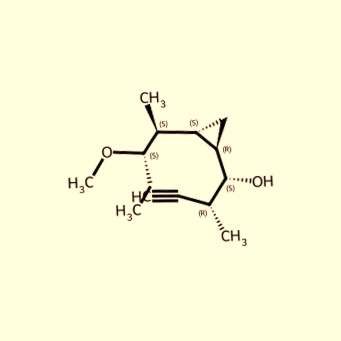 C#C[C@@H](C)[C@@H](O)[C@@H]1C[C@H]1[C@H](C)[C@H](CC)OC